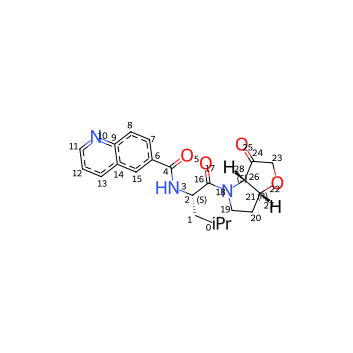 CC(C)C[C@H](NC(=O)c1ccc2ncccc2c1)C(=O)N1CC[C@H]2OCC(=O)[C@H]21